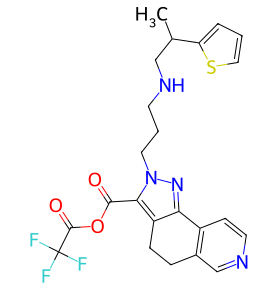 CC(CNCCCn1nc2c(c1C(=O)OC(=O)C(F)(F)F)CCc1cnccc1-2)c1cccs1